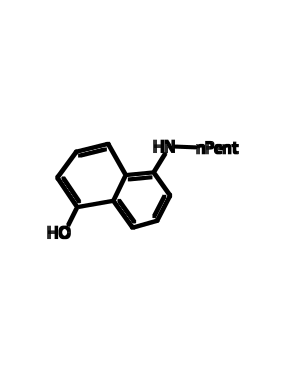 CCCCCNc1cccc2c(O)cccc12